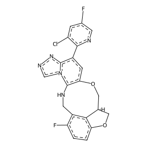 Fc1cnc(-c2cc3c(n4cnnc24)NCc2c(F)ccc4c2[C@H](CO4)CO3)c(Cl)c1